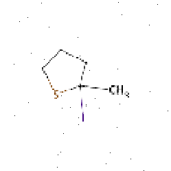 CC1(I)CCCS1